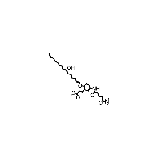 CCCCCCCCC(O)CCCCC=COc1ccc(NC(=O)CCCC(=O)N(C)C)cc1CCC(=O)OC